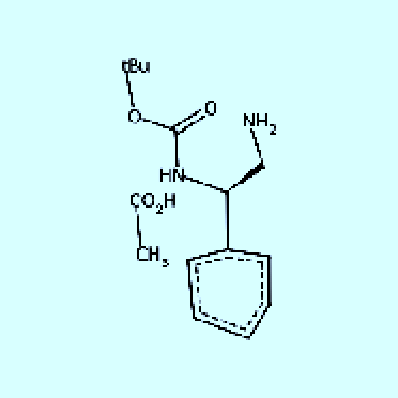 CC(=O)O.CC(C)(C)OC(=O)N[C@@H](CN)c1ccccc1